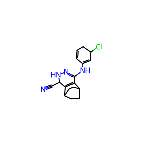 N#CC1NN=C(NC2=CC(Cl)CC=C2)C2=C1C1CCC2CC1